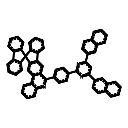 c1ccc2c(c1)-c1ccccc1C21c2ccccc2-c2cc3c(-c4ccc(-c5nc(-c6ccc7ccccc7c6)cc(-c6ccc7ccccc7c6)n5)cc4)nc4ccccc4c3cc21